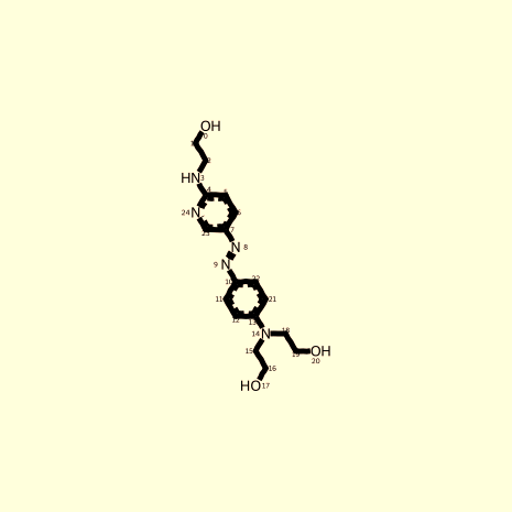 OCCNc1ccc(N=Nc2ccc(N(CCO)CCO)cc2)cn1